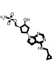 NS(=O)(=O)OC[C@@H]1C[C@@H](n2ccc3c(NCC4CC4)ncnc32)C[C@@H]1O